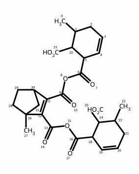 CC1CC=CC(C(=O)OC(=O)C2=C(C(=O)OC(=O)C3C=CCC(C)C3C(=O)O)C3(C)CCC2C3)C1C(=O)O